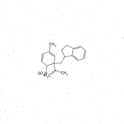 C=C(C)C1(CC2CCc3ccccc32)C=C(C)C=CC1S(=O)(=O)O